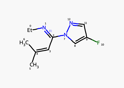 CC/N=C(\C=C(C)C)n1cc(F)cn1